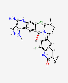 C[C@H]1CCC(c2cc(F)c3c(c2)CC2(CC2)C(=O)N3)N(C(=O)c2cc3c(cc2Cl)nc(N)c2cnn(C)c23)C1